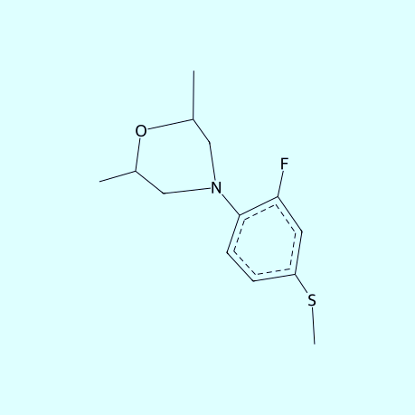 CSc1ccc(N2CC(C)OC(C)C2)c(F)c1